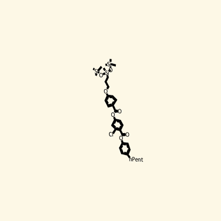 CCCCCc1ccc(OC(=O)c2ccc(OC(=O)c3ccc(OCCC[Si](C)(O[Si](C)(C)C)O[Si](C)(C)C)cc3)cc2Cl)cc1